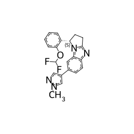 Cn1cc(-c2ccc3nc4n(c3c2)[C@H](c2ccccc2OC(F)F)CC4)cn1